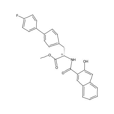 COC(=O)[C@H](Cc1ccc(-c2ccc(F)cc2)cc1)NC(=O)c1cc2ccccc2cc1O